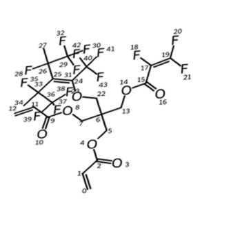 C=CC(=O)OCC(COC(=O)C=C)(COC(=O)C(F)=C(F)F)COC(=C(C(C)(F)C(F)(F)F)C(C)(F)C(F)(F)F)C(F)(F)F